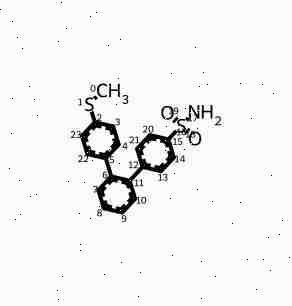 CSc1ccc(-c2ccccc2-c2ccc(S(N)(=O)=O)cc2)cc1